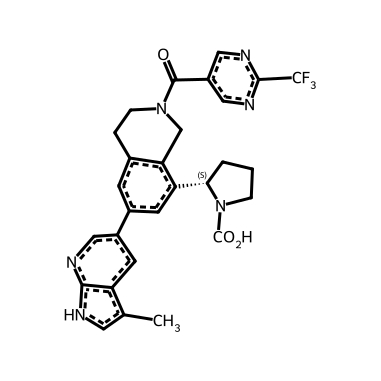 Cc1c[nH]c2ncc(-c3cc4c(c([C@@H]5CCCN5C(=O)O)c3)CN(C(=O)c3cnc(C(F)(F)F)nc3)CC4)cc12